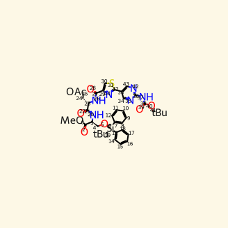 COC(=O)[C@H](CO[Si](c1ccccc1)(c1ccccc1)C(C)(C)C)NC(=O)[C@H](COC(C)=O)NC(=O)c1csc(-c2cnc(NC(=O)OC(C)(C)C)nc2)n1